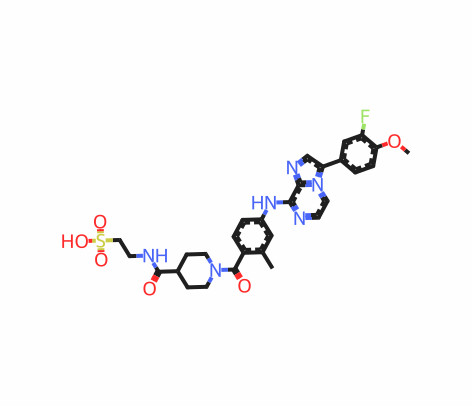 COc1ccc(-c2cnc3c(Nc4ccc(C(=O)N5CCC(C(=O)NCCS(=O)(=O)O)CC5)c(C)c4)nccn23)cc1F